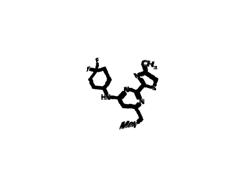 CNCc1cc(NC2CCC(F)(F)CC2)nc(-c2nc(C)cs2)n1